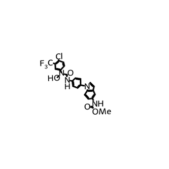 COC(=O)Nc1ccc2c(ccn2-c2ccc(NC(=O)N(O)c3ccc(Cl)c(C(F)(F)F)c3)cc2)c1